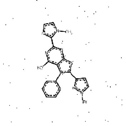 CC(C)n1ccc(-c2sc3nc(-c4nccn4C)nc(O)c3c2-c2ccccc2)n1